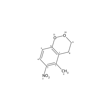 Cc1c([N+](=O)[O-])ccc2c1CCOO2